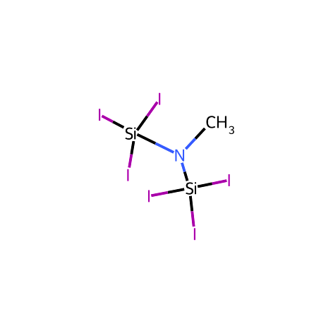 CN([Si](I)(I)I)[Si](I)(I)I